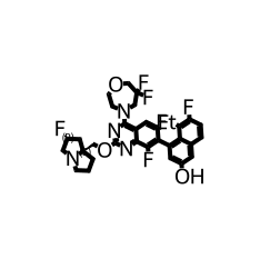 CCc1c(F)ccc2cc(O)cc(-c3c(F)cc4c(N5CCOCC(F)(F)C5)nc(OC[C@@]56CCCN5C[C@H](F)C6)nc4c3F)c12